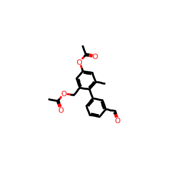 CC(=O)OCc1cc(OC(C)=O)cc(C)c1-c1cccc(C=O)c1